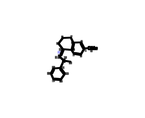 COc1ccc2c(c1)CCC/C2=N/N(C)c1ccccc1